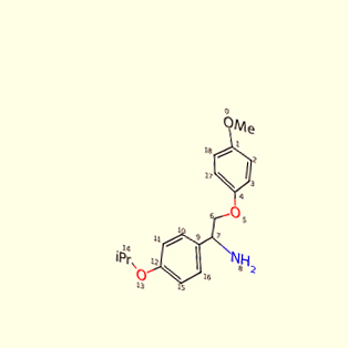 COc1ccc(OCC(N)c2ccc(OC(C)C)cc2)cc1